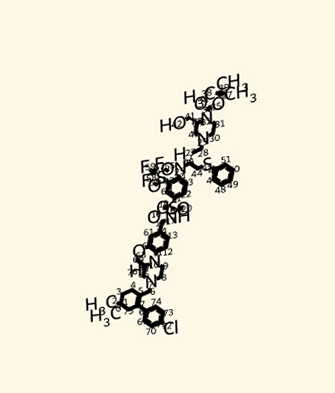 CC1(C)CCC(CN2CCN3c4ccc(C(=O)NS(=O)(=O)c5ccc(N[C@H](CCN6CCN(C(=O)OC(C)(C)C)[C@H](CO)C6)CSc6ccccc6)c(S(=O)(=O)C(F)(F)F)c5)cc4OC[C@@H]3C2)=C(c2ccc(Cl)cc2)C1